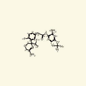 [2H]C([2H])([2H])Oc1cnc(OC(=O)Nc2ccc(F)c(C3(C(F)F)COCC(N)=N3)c2)c(N)n1